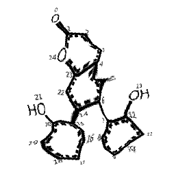 O=c1ccc2cc(-c3ccccc3O)c(-c3ccccc3O)cc2o1